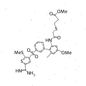 COC(=O)CCSCC(=O)Nc1cc(OC)cc(C)c1-c1cccc(S(=O)(=O)c2cc(C(=N)N)sc2SC)c1